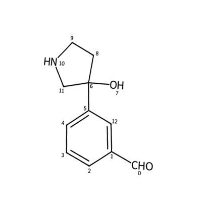 O=Cc1cccc(C2(O)CCNC2)c1